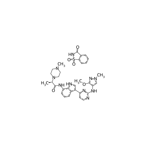 COc1nn(C)cc1Nc1nccc(-c2c[nH]c3c(NC(=O)[C@@H](C)N4CCN(C)CC4)cccc23)n1.O=C1NS(=O)(=O)c2ccccc21